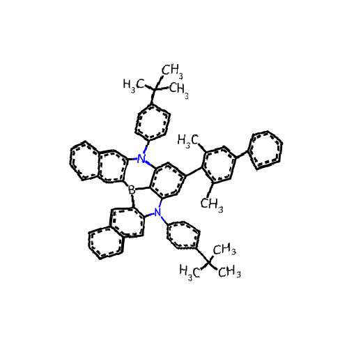 Cc1cc(-c2ccccc2)cc(C)c1-c1cc2c3c(c1)N(c1ccc(C(C)(C)C)cc1)c1cc4ccccc4cc1B3c1cc3ccccc3cc1N2c1ccc(C(C)(C)C)cc1